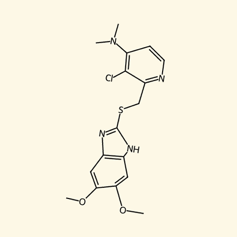 COc1cc2nc(SCc3nccc(N(C)C)c3Cl)[nH]c2cc1OC